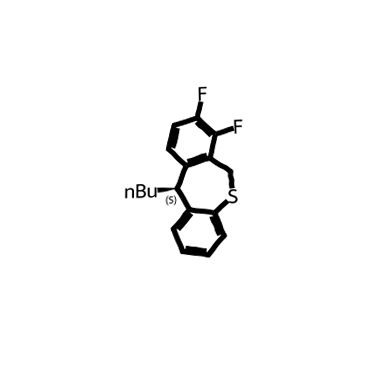 CCCC[C@@H]1c2ccccc2SCc2c1ccc(F)c2F